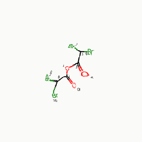 O=C(OC(=O)C(Br)Br)C(Br)Br